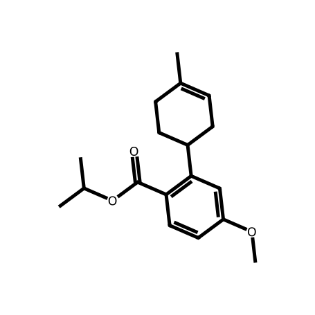 COc1ccc(C(=O)OC(C)C)c(C2CC=C(C)CC2)c1